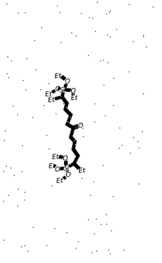 CCO[Si](OCC)(OCC)C(CC)CCCCC(=O)CCCCC(CC)[Si](OCC)(OCC)OCC